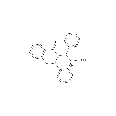 CCOC(=O)C(C#N)C(c1ccccc1)C1C(=O)c2ccccc2OC1c1ccccc1